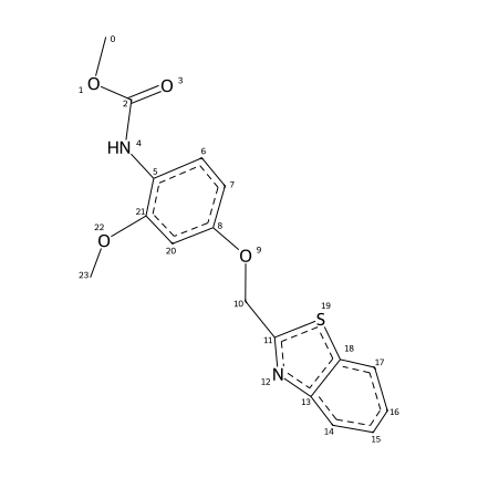 COC(=O)Nc1ccc(OCc2nc3ccccc3s2)cc1OC